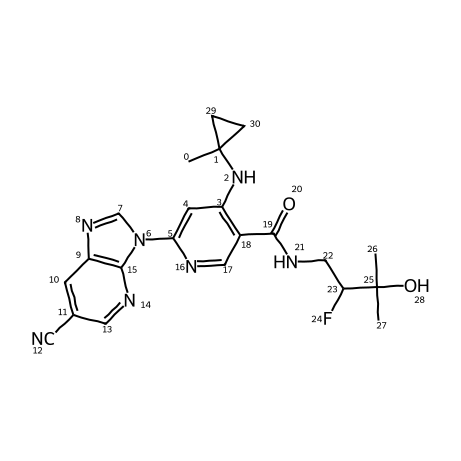 CC1(Nc2cc(-n3cnc4cc(C#N)cnc43)ncc2C(=O)NCC(F)C(C)(C)O)CC1